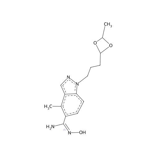 Cc1c(/C(N)=N\O)ccc2c1cnn2CCCC1OC(C)O1